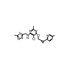 Cc1ccc(C2CC2COc2nc(C)nc(NCc3nnc(C)s3)c2Cl)nc1